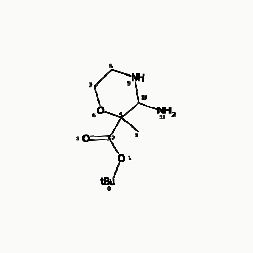 CC(C)(C)OC(=O)C1(C)OCCNC1N